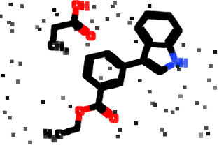 CCC(=O)O.CCOC(=O)c1cccc(-c2c[nH]c3ccccc23)c1